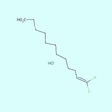 Cl.O=C(O)CCCCCCCCCC=C(F)F